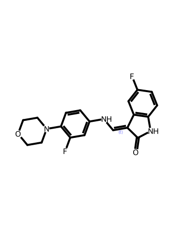 O=C1Nc2ccc(F)cc2/C1=C\Nc1ccc(N2CCOCC2)c(F)c1